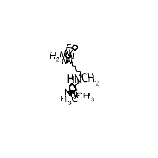 C=C(CCCCCn1cnc2c(N)nc(-c3ccccc3F)nc21)NCc1ccc2ncn(C(C)C)c2c1